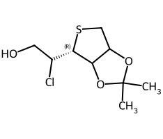 CC1(C)OC2CS[C@@H](C(Cl)CO)C2O1